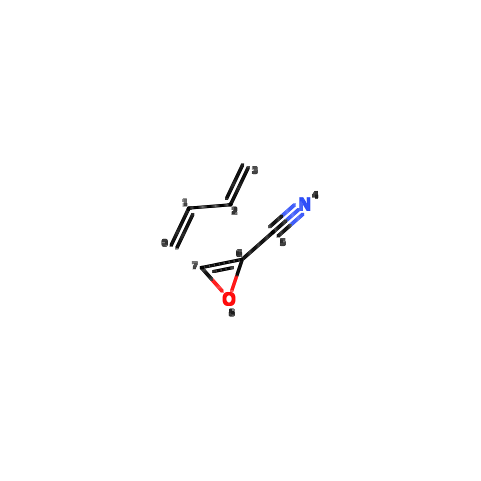 C=CC=C.N#CC1=CO1